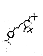 CC(C)(C)OC(=O)CN(CCOc1ccc([N+](=O)[O-])cc1)C(=O)OC(C)(C)C